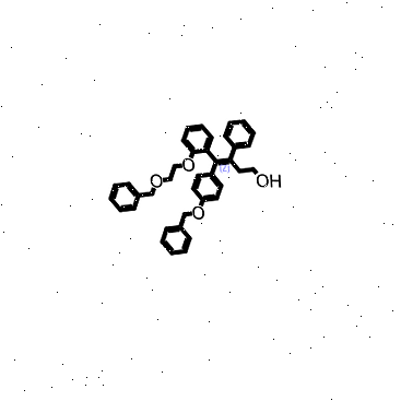 OCC/C(=C(\c1ccc(OCc2ccccc2)cc1)c1ccccc1OCCOCc1ccccc1)c1ccccc1